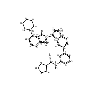 O=C(Nc1cncc(-c2ccc3[nH]nc(-c4nc5c(N6CCCCC6)nccc5[nH]4)c3n2)c1)C1CCCC1